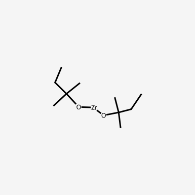 CCC(C)(C)[O][Zr][O]C(C)(C)CC